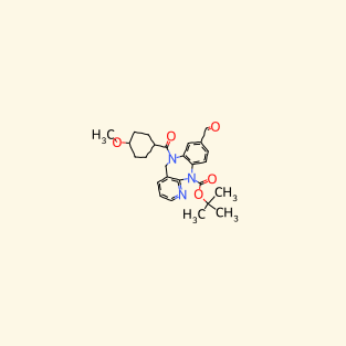 COC1CCC(C(=O)N2Cc3cccnc3N(C(=O)OC(C)(C)C)c3ccc(C=O)cc32)CC1